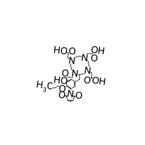 CCCOc1ccc(CC2CN(CC(=O)O)CCN(CC(=O)O)CCN(CC(=O)O)CCN2CC(=O)O)cc1N1C(=O)C=CC1=O